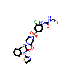 CNC(=O)Nc1ccc(S(=O)(=O)N2CCN([C@@H](CC3CCCCC3)C(=O)Nc3nccs3)C(=O)C2)cc1Cl